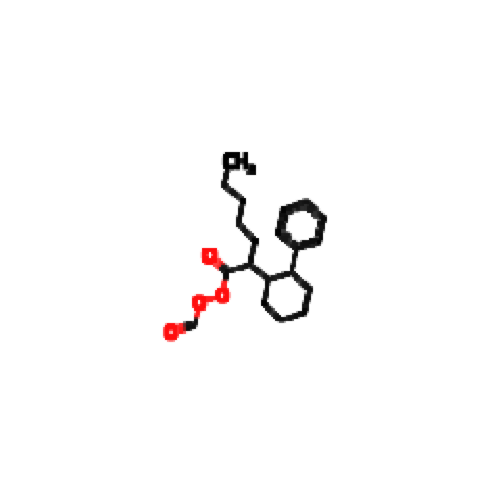 CCCCCC(C(=O)OOC=O)C1CCCCC1c1ccccc1